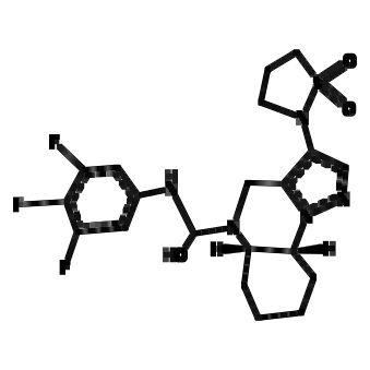 O=S1(=O)CCCN1c1cnn2c1CN(C(O)Nc1cc(F)c(F)c(F)c1)[C@H]1CCCC[C@H]12